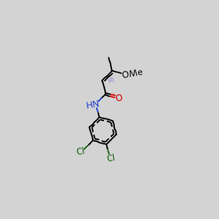 CO/C(C)=C\C(=O)Nc1ccc(Cl)c(Cl)c1